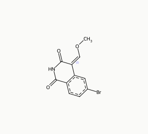 CO/C=C1\C(=O)NC(=O)c2ccc(Br)cc21